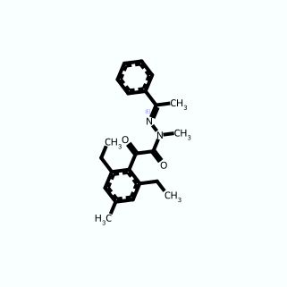 CCc1cc(C)cc(CC)c1C(=O)C(=O)N(C)/N=C(\C)c1ccccc1